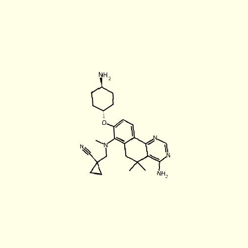 CN(CC1(C#N)CC1)c1c(O[C@H]2CC[C@H](N)CC2)ccc2c1CC(C)(C)c1c(N)ncnc1-2